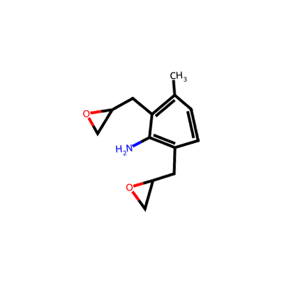 Cc1ccc(CC2CO2)c(N)c1CC1CO1